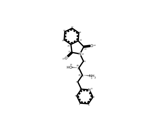 N[C@H](Cc1ccccn1)[C@H](O)CN1C(=O)c2ccccc2C1=O